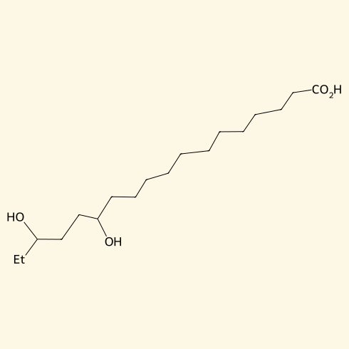 CCC(O)CCC(O)CCCCCCCCCCCC(=O)O